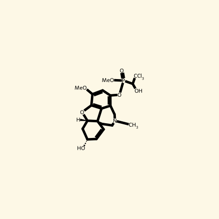 COc1cc(OP(=O)(OC)C(O)C(Cl)(Cl)Cl)c2c3c1O[C@H]1C[C@@H](O)C=C[C@@]31CCN(C)C2